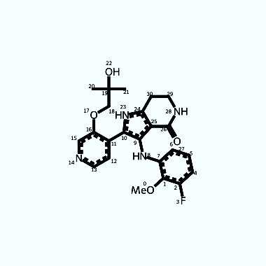 COc1c(F)cccc1Nc1c(-c2ccncc2OCC(C)(C)O)[nH]c2c1C(=O)NCC2